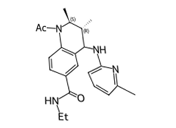 CCNC(=O)c1ccc2c(c1)C(Nc1cccc(C)n1)[C@@H](C)[C@H](C)N2C(C)=O